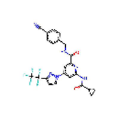 N#Cc1ccc(CNC(=O)c2cc(-n3ccc(C(F)(F)C(F)(F)F)n3)cc(NC(=O)C3CC3)n2)cc1